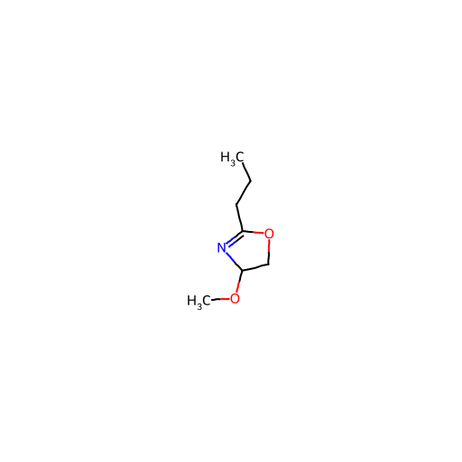 CCCC1=NC(OC)CO1